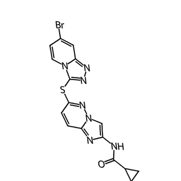 O=C(Nc1cn2nc(Sc3nnc4cc(Br)ccn34)ccc2n1)C1CC1